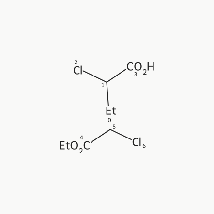 CCC(Cl)C(=O)O.CCOC(=O)CCl